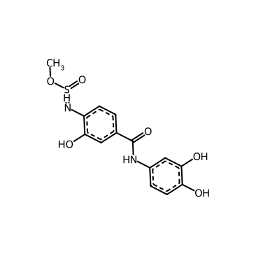 CO[SH](=O)=Nc1ccc(C(=O)Nc2ccc(O)c(O)c2)cc1O